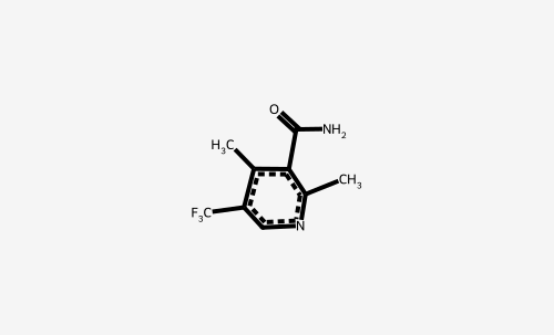 Cc1ncc(C(F)(F)F)c(C)c1C(N)=O